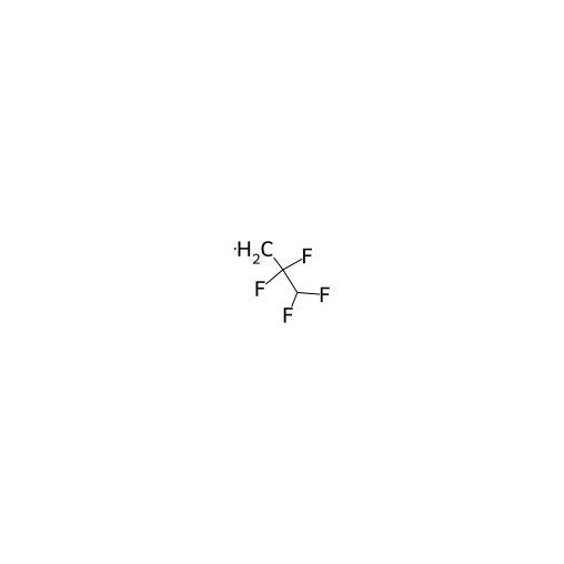 [CH2]C(F)(F)C(F)F